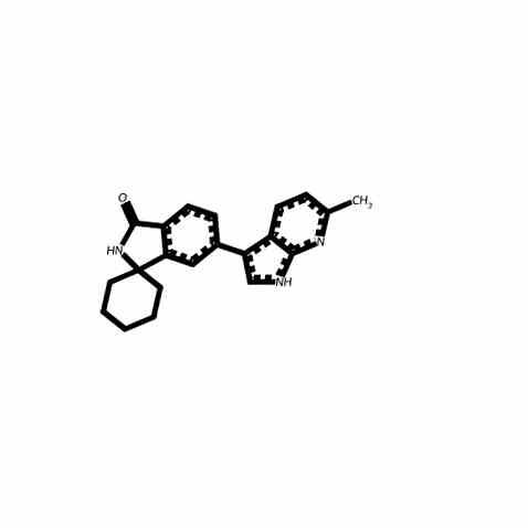 Cc1ccc2c(-c3ccc4c(c3)C3(CCCCC3)NC4=O)c[nH]c2n1